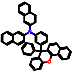 c1ccc(C2(c3cccc(N(c4ccc5ccccc5c4)c4ccc5ccccc5c4)c3)c3ccccc3Oc3c2ccc2ccccc32)cc1